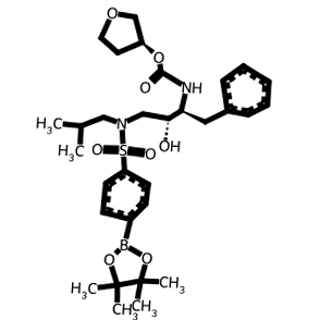 CC(C)CN(C[C@@H](O)[C@H](Cc1ccccc1)NC(=O)O[C@H]1CCOC1)S(=O)(=O)c1ccc(B2OC(C)(C)C(C)(C)O2)cc1